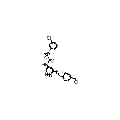 O=C(Nc1cnnc(NCc2ccc(CCl)cc2)c1)[C@H]1C[C@@H]1c1cccc(Cl)c1